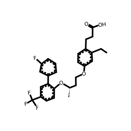 CCc1cc(OCC[C@H](C)Oc2ccc(C(F)(F)F)cc2-c2cccc(F)c2)ccc1CCC(=O)O